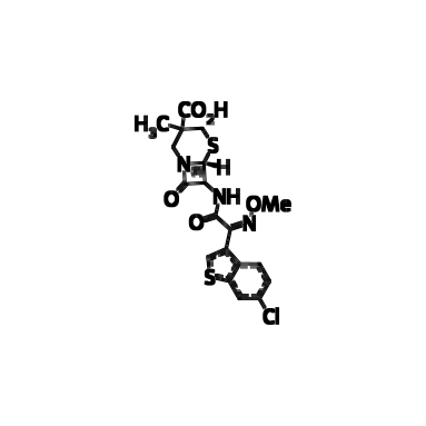 CON=C(C(=O)NC1C(=O)N2CC(C)(C(=O)O)CS[C@H]12)c1csc2cc(Cl)ccc12